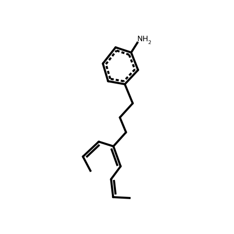 C\C=C/C=C(\C=C/C)CCCc1cccc(N)c1